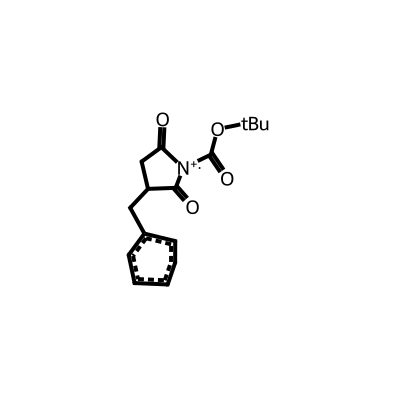 CC(C)(C)OC(=O)[N+]1C(=O)CC(Cc2ccccc2)C1=O